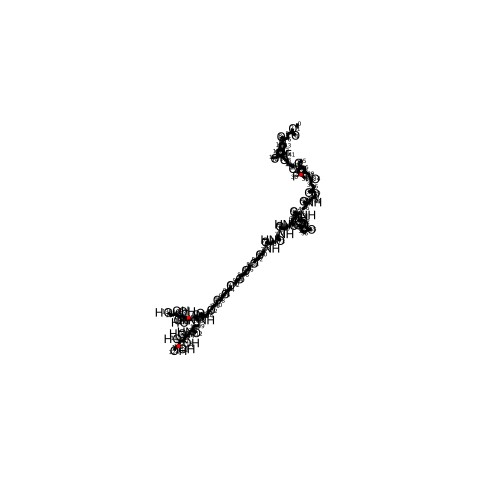 CCOC(=O)CCC(=O)N1Cc2cc(OC)c(OCCCOc3c(OC)cc4c(c3F)CN(C(=O)CCC(=O)O[C@@H](C)CNC(=O)CC[C@H](NC(=O)CN3C(=O)C=CC3=O)C(=O)NCC(=O)NCC(=O)NCC(=O)NCC(=O)NCCOCCOCCOCCOCCOCCOCCOCCOCCC(=O)N[C@@H](CCC(=O)NC[C@H](O)[C@@H](O)[C@H](O)[C@H](O)CO)C(=O)NC[C@H](O)[C@@H](O)[C@H](O)[C@H](O)CO)C4)c(F)c2C1